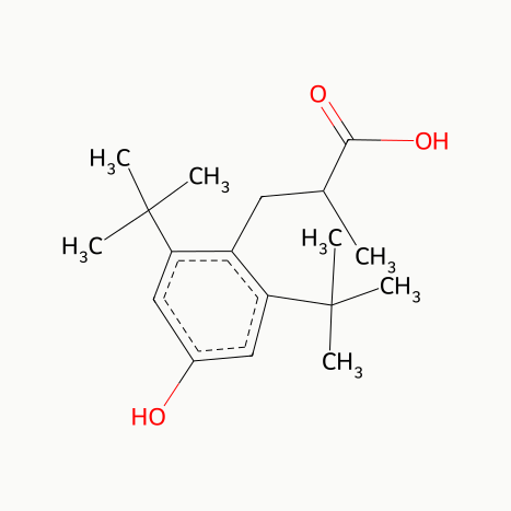 CC(Cc1c(C(C)(C)C)cc(O)cc1C(C)(C)C)C(=O)O